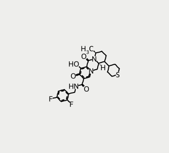 C[C@H]1CCC(C2CCSCC2)[C@H]2Cn3cc(C(=O)NCc4ccc(F)cc4F)c(=O)c(O)c3C(=O)N21